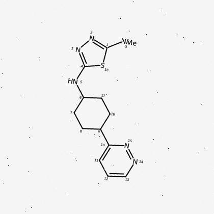 CNc1nnc(NC2CCC(c3cccnn3)CC2)s1